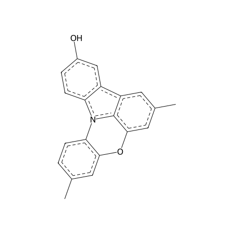 Cc1ccc2c(c1)Oc1cc(C)cc3c4cc(O)ccc4n-2c13